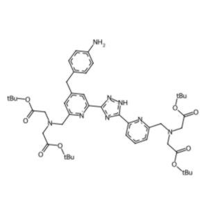 CC(C)(C)OC(=O)CN(CC(=O)OC(C)(C)C)Cc1cc(Cc2ccc(N)cc2)cc(-c2n[nH]c(-c3cccc(CN(CC(=O)OC(C)(C)C)CC(=O)OC(C)(C)C)n3)n2)n1